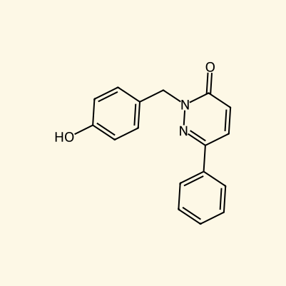 O=c1ccc(-c2ccccc2)nn1Cc1ccc(O)cc1